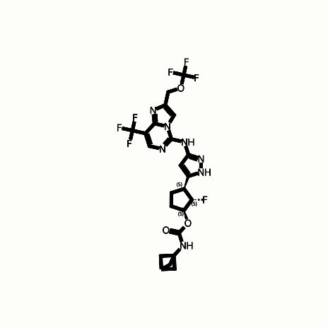 O=C(NC12CC(C1)C2)O[C@H]1CC[C@@H](c2cc(Nc3ncc(C(F)(F)F)c4nc(COC(F)(F)F)cn34)n[nH]2)[C@@H]1F